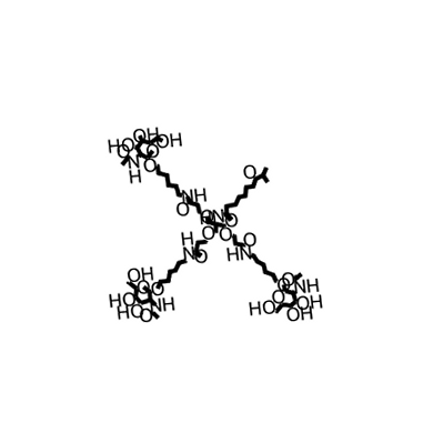 CC(=O)NC1C(OCCCCCCNC(=O)CCOCC(COCCC(=O)NCCCCCCOC2OC(CO)C(O)C(O)C2NC(C)=O)(COCCC(=O)NCCCCCCOC2OC(CO)C(O)C(O)C2NC(C)=O)NC(=O)CCCCCCC(=O)C(C)C)OC(CO)C(O)C1O